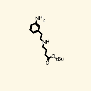 CC(C)(C)OC(=O)CCCNCCc1cccc(N)c1